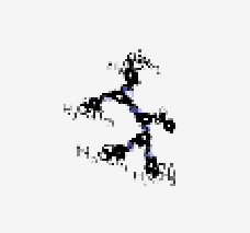 CC(C)(C)c1ccc(/C=C/c2cc(/C=C/c3ccc(C(C)(C)C)cc3)cc(/C=C/c3cc(/C=C/c4cc(/C=C/c5ccc(C(C)(C)C)cc5)cc(/C=C/c5ccc(C(C)(C)C)cc5)c4)cc(COC(=O)C4CCCC4)c3)c2)cc1